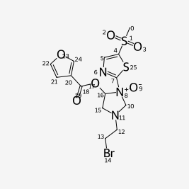 CS(=O)(=O)c1cnc([N+]2([O-])CN(CCBr)CC2OC(=O)c2ccoc2)s1